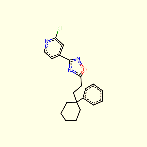 Clc1cc(-c2noc(CCC3(c4ccccc4)CCCCC3)n2)ccn1